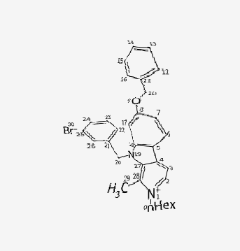 CCCCCC[n+]1ccc2c3ccc(OCc4ccccc4)cc3n(Cc3ccccc3)c2c1C.[Br-]